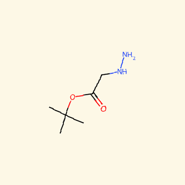 CC(C)(C)OC(=O)CNN